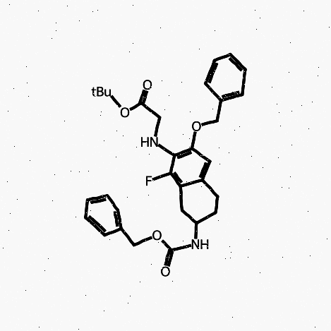 CC(C)(C)OC(=O)CNc1c(OCc2ccccc2)cc2c(c1F)CC(NC(=O)OCc1ccccc1)CC2